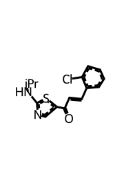 CC(C)Nc1ncc(C(=O)/C=C/c2ccccc2Cl)s1